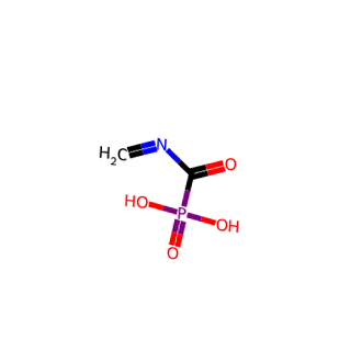 C=NC(=O)P(=O)(O)O